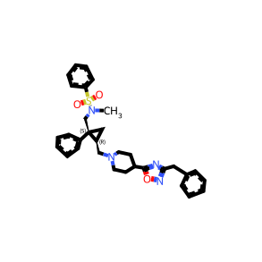 CN(C[C@@]1(c2ccccc2)C[C@H]1CN1CCC(c2nc(Cc3ccccc3)no2)CC1)S(=O)(=O)c1ccccc1